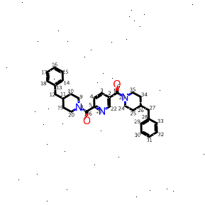 O=C(c1ccc(C(=O)N2CCC(Cc3ccccc3)CC2)nc1)N1CCC(Cc2ccccc2)CC1